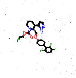 O=C(OCCF)N1CCCC(c2ccn[nH]2)C1COC1CCC(c2c(F)ccc(F)c2F)CC1